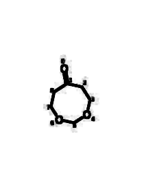 O=C1CCOCOCC1